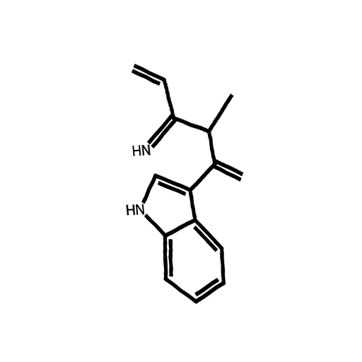 C=CC(=N)C(C)C(=C)c1c[nH]c2ccccc12